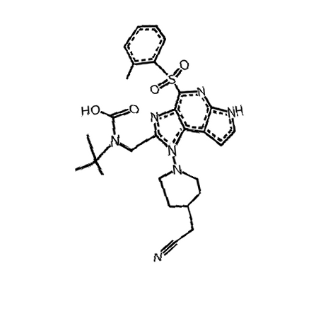 Cc1ccccc1S(=O)(=O)c1nc2[nH]ccc2c2c1nc(CN(C(=O)O)C(C)(C)C)n2N1CCC(CC#N)CC1